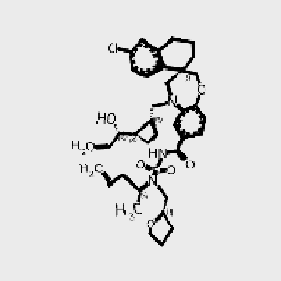 C=CC[C@H](C)N(C[C@H]1CCCO1)S(=O)(=O)NC(=O)c1ccc2c(c1)N(C[C@@H]1CC[C@H]1[C@@H](O)C=C)C[C@@]1(CCCc3cc(Cl)ccc31)CO2